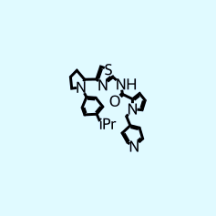 CC(C)c1ccc(N2CCCC2c2csc(NC(=O)c3cccn3Cc3ccncc3)n2)cc1